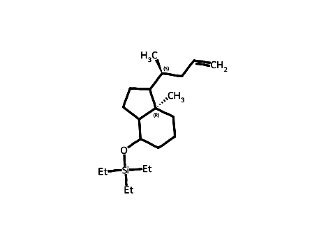 C=CC[C@H](C)C1CCC2C(O[Si](CC)(CC)CC)CCC[C@@]21C